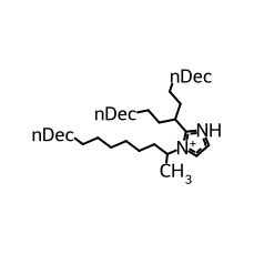 CCCCCCCCCCCCCCCCC(C)[n+]1cc[nH]c1C(CCCCCCCCCCCC)CCCCCCCCCCCC